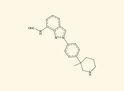 CC1(c2ccc(-n3cc4cccc(NC=O)c4n3)cc2)CCCNC1